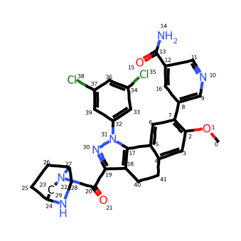 COc1cc2c(cc1-c1cncc(C(N)=O)c1)-c1c(c(C(=O)N3CC4CCC3CN4)nn1-c1cc(Cl)cc(Cl)c1)CC2